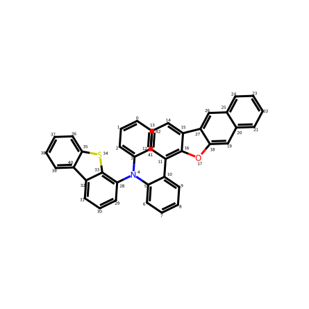 c1ccc(N(c2ccccc2-c2cccc3c2oc2cc4ccccc4cc23)c2cccc3c2sc2ccccc23)cc1